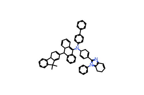 CC1(C)C2=CC(C3c4ccccc4C(N(c4ccc(-c5ccccc5)cc4)C4C=CC(c5nc6c(n5-c5ccccc5)CCC=C6)=CC4)=C4C=CC=CC43)=CCC2c2ccccc21